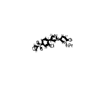 CCCn1cc(-n2cc(-c3ccc(S(=O)(=O)C4COC4)cc3Cl)cn2)ccc1=O